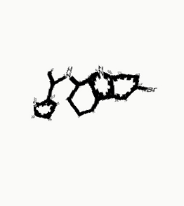 CC(NC1CCCc2c1[nH]c1ccc(Br)cc21)c1cccs1